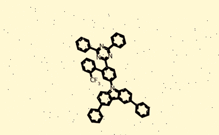 FC(F)(F)c1ccccc1-c1cc(-n2c3ccc(-c4ccccc4)cc3c3cc(-c4ccccc4)ccc32)ccc1-c1nc(-c2ccccc2)nc(-c2ccccc2)n1